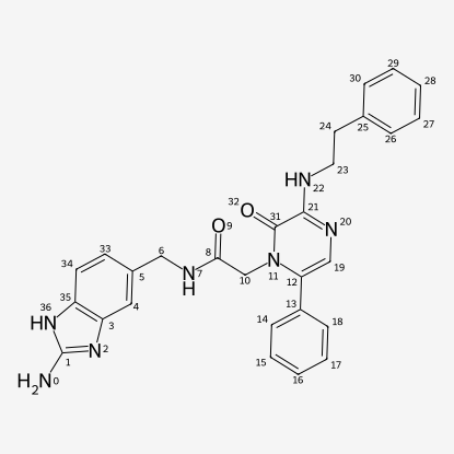 Nc1nc2cc(CNC(=O)Cn3c(-c4ccccc4)cnc(NCCc4ccccc4)c3=O)ccc2[nH]1